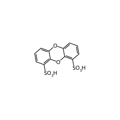 O=S(=O)(O)c1cccc2c1Oc1c(cccc1S(=O)(=O)O)O2